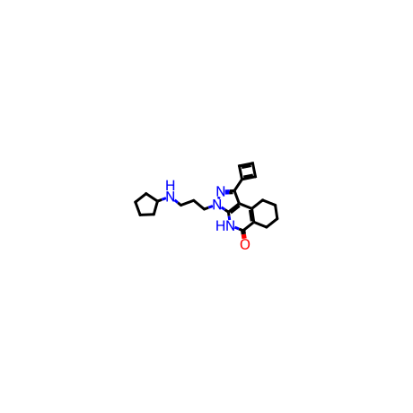 O=c1[nH]c2c(c(C3=CC=C3)nn2CCCNC2CCCC2)c2c1CCCC2